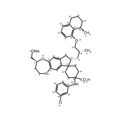 COC[C@@H]1CCOc2cc3c(cc2O1)C[C@H](C[C@@H](C)COc1ccnc2c1[C@H](C)CCC2)C31CCC(Nc2cccc(Cl)c2)(C(=O)O)CC1